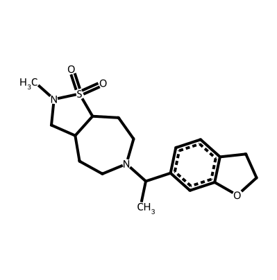 CC(c1ccc2c(c1)OCC2)N1CCC2CN(C)S(=O)(=O)C2CC1